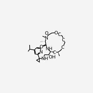 CC(C)c1ccnc(C2(NC[C@@H](O)[C@@H]3C[C@H](C)CCCCCCOCC(=O)N(C)[C@@H](C)C(=O)N3)CC2)c1